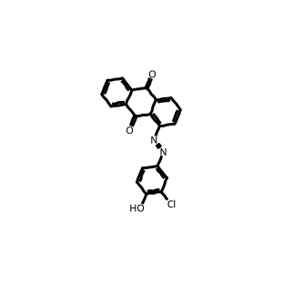 O=C1c2ccccc2C(=O)c2c(/N=N/c3ccc(O)c(Cl)c3)cccc21